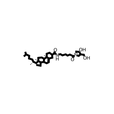 CC(C)CCC[C@@H](C)[C@H]1CCC2C3CC=C4CC(C(=O)NCCCCCC(=O)N5CC(O)C(CO)C5)CC[C@]4(C)C3CC[C@@]21C